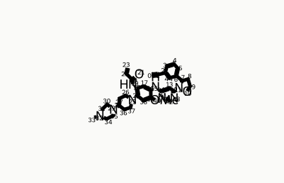 C#Cc1cccc(C2CCON2c2cc(Nc3cc(NC(=O)C=C)c(N4CCC(N5CCN(C)CC5)CC4)cc3OC)ncn2)c1